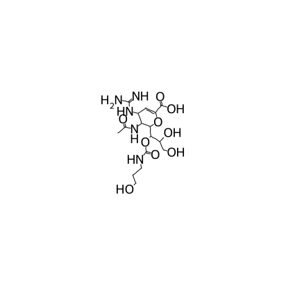 CC(=O)NC1C(NC(=N)N)C=C(C(=O)O)OC1C(OC(=O)NCCCO)C(O)CO